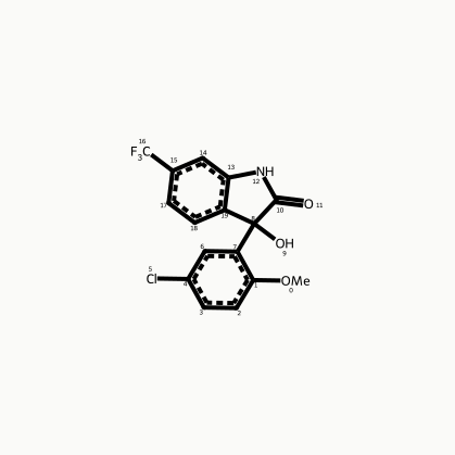 COc1ccc(Cl)cc1C1(O)C(=O)Nc2cc(C(F)(F)F)ccc21